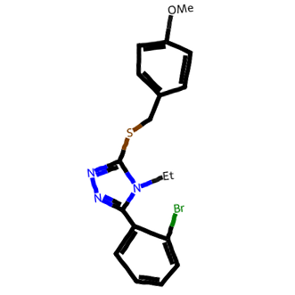 CCn1c(SCc2ccc(OC)cc2)nnc1-c1ccccc1Br